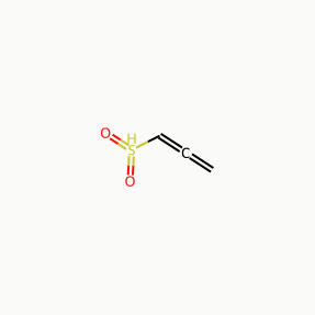 C=C=C[SH](=O)=O